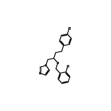 Clc1ccc(CCC(Cn2ccnc2)OCc2ccccc2Cl)cc1